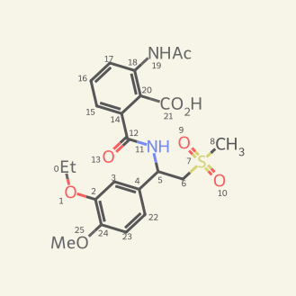 CCOc1cc(C(CS(C)(=O)=O)NC(=O)c2cccc(NC(C)=O)c2C(=O)O)ccc1OC